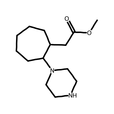 COC(=O)CC1CCCCCC1N1CCNCC1